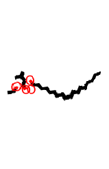 CCCCCCCC/C=C\CCCCCCCC(=O)OC(C(=O)OCC)C(C)C